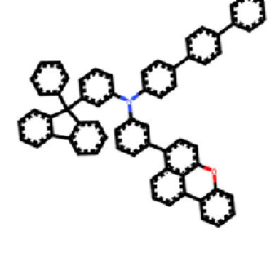 c1ccc(-c2ccc(-c3ccc(N(c4cccc(-c5ccc6c7c(cccc57)-c5ccccc5O6)c4)c4cccc(C5(c6ccccc6)c6ccccc6-c6ccccc65)c4)cc3)cc2)cc1